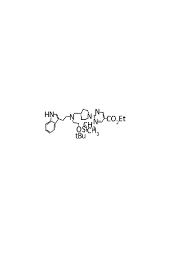 CCOC(=O)c1cnc(N2CCC(CN(CCO[Si](C)(C)C(C)(C)C)CCc3c[nH]c4ccccc34)CC2)nc1